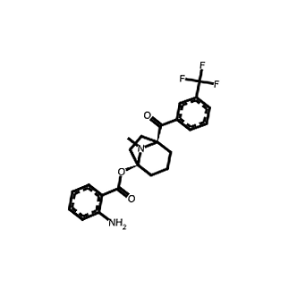 CN1[C@]2(OC(=O)c3ccccc3N)CCC[C@@]1(C(=O)c1cccc(C(F)(F)F)c1)CC2